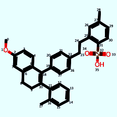 COc1ccc2c(c1)CCC(c1ccccc1C)=C2c1ccc(CCc2cc(C)ccc2S(=O)(=O)O)cc1